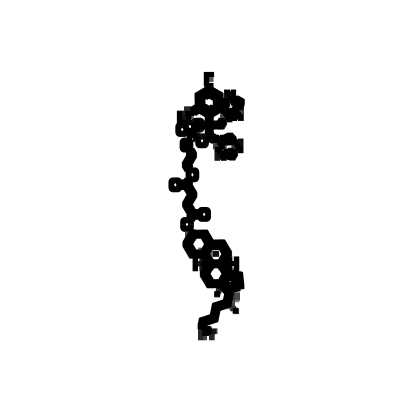 CCOP(=O)(OCCOC(=O)CCC(=O)O[C@H]1CC[C@@]2(C)C(=CC[C@H]3[C@@H]4CC[C@H]([C@H](C)CCCC(C)C)[C@@]4(C)CC[C@@H]32)C1)OC(Cn1cncn1)(Cn1cncn1)c1ccc(F)cc1F